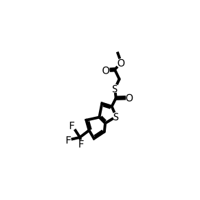 COC(=O)CSC(=O)c1cc2cc(C(F)(F)F)ccc2s1